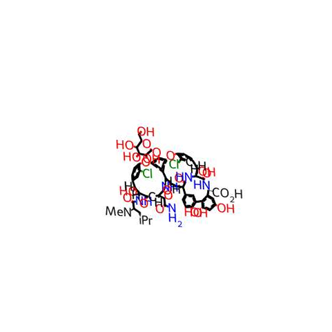 CN[C@H](CC(C)C)C(=O)N[C@H]1C(=O)C[C@@H](CC(N)=O)C(=O)N[C@H]2C(=O)C[C@H]3C(=O)N[C@H](C(=O)N[C@H](C(=O)O)c4cc(O)cc(O)c4-c4cc3ccc4O)[C@H](O)c3ccc(c(Cl)c3)Oc3cc2cc(c3OC2OC(CO)C(O)C(O)C2O)Oc2ccc(cc2Cl)[C@H]1O